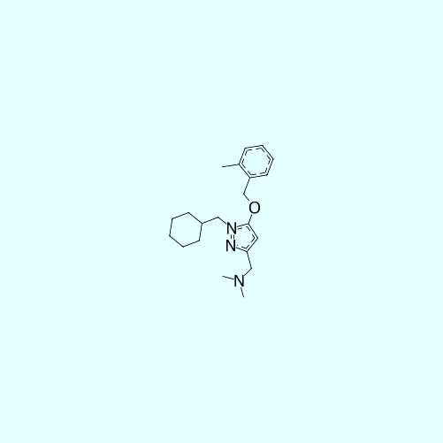 Cc1ccccc1COc1cc(CN(C)C)nn1CC1CCCCC1